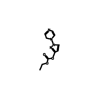 CCOC(=O)Oc1ccn(N2C=CN=CC2)n1